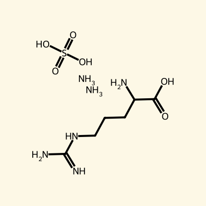 N.N.N=C(N)NCCCC(N)C(=O)O.O=S(=O)(O)O